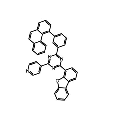 c1cc(-c2nc(-c3ccncc3)nc(-c3cccc4c3oc3ccccc34)n2)cc(-c2cccc3ccc4ccccc4c23)c1